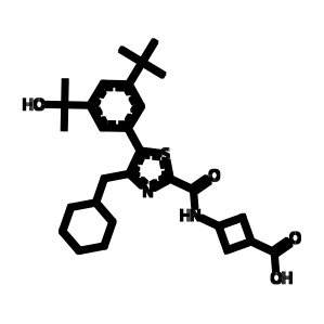 CC(C)(C)c1cc(-c2sc(C(=O)NC3CC(C(=O)O)C3)nc2CC2CCCCC2)cc(C(C)(C)O)c1